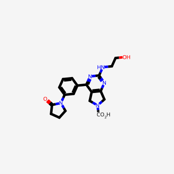 O=C(O)N1Cc2nc(NCCO)nc(-c3cccc(N4CCCC4=O)c3)c2C1